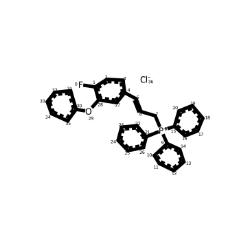 Fc1ccc(C=CC[P+](c2ccccc2)(c2ccccc2)c2ccccc2)cc1Oc1ccccc1.[Cl-]